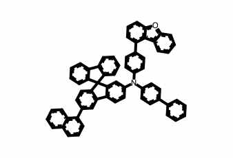 c1ccc(-c2ccc(N(c3ccc(-c4cccc5oc6ccccc6c45)cc3)c3ccc4c(c3)C3(c5ccccc5-c5ccccc53)c3ccc(-c5cccc6ccccc56)cc3-4)cc2)cc1